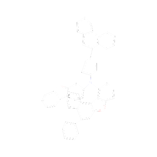 c1ccc(-c2cc3oc4cccc(N(c5ccc(-c6cc7ccccc7c7ccccc67)cc5)c5ccc6c(c5)oc5ccccc56)c4c3c3ccccc23)cc1